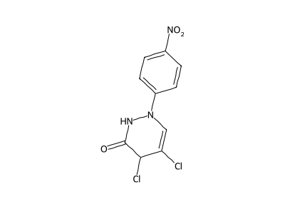 O=C1NN(c2ccc([N+](=O)[O-])cc2)C=C(Cl)C1Cl